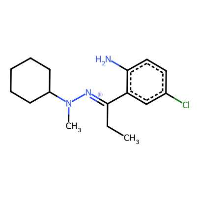 CC/C(=N\N(C)C1CCCCC1)c1cc(Cl)ccc1N